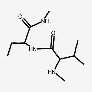 CCC(NC(=O)C(NC)C(C)C)C(=O)NC